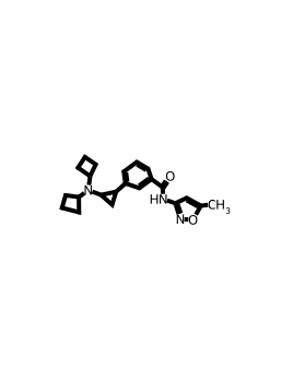 Cc1cc(NC(=O)c2cccc(C3CC3N(C3CCC3)C3CCC3)c2)no1